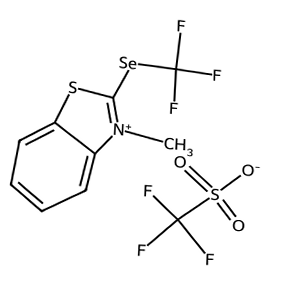 C[n+]1c([Se]C(F)(F)F)sc2ccccc21.O=S(=O)([O-])C(F)(F)F